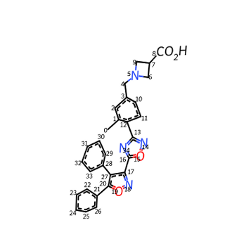 Cc1cc(CN2CC(C(=O)O)C2)ccc1-c1noc(-c2noc(-c3ccccc3)c2-c2ccccc2)n1